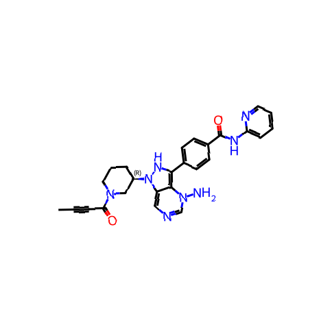 CC#CC(=O)N1CCC[C@@H](N2NC(c3ccc(C(=O)Nc4ccccn4)cc3)=C3C2=CN=CN3N)C1